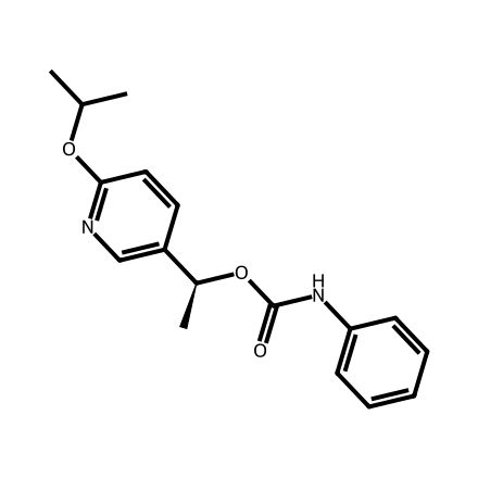 CC(C)Oc1ccc([C@H](C)OC(=O)Nc2ccccc2)cn1